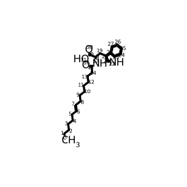 CCCCCCC=CCCCCCCCC(=O)NC(Cc1c[nH]c2ccccc12)C(=O)O